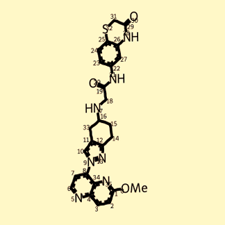 COc1ccc2nccc(-n3cc4c(n3)CCC(NCC(=O)Nc3ccc5c(c3)NC(=O)CS5)C4)c2n1